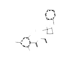 CC1(C)[C@H](Cc2ccccc2)C[C@@H]1C(=O)OC(=O)c1c(Cl)cc(Cl)cc1Cl